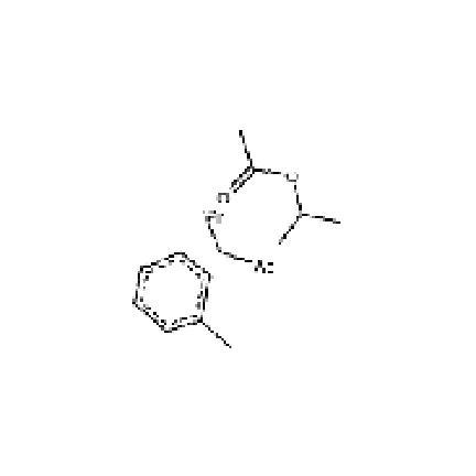 CC(=O)CC(C)C.CC(=O)OC(C)C.Cc1ccccc1